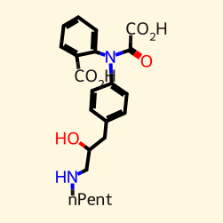 CCCCCNCC(O)Cc1ccc(N(C(=O)C(=O)O)c2ccccc2C(=O)O)cc1